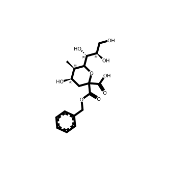 C[C@H]1C([C@H](O)[C@H](O)CO)OC(C(=O)O)(C(=O)OCc2ccccc2)C[C@H]1O